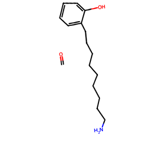 C=O.NCCCCCCCCCc1ccccc1O